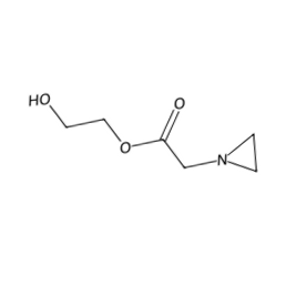 O=C(CN1CC1)OCCO